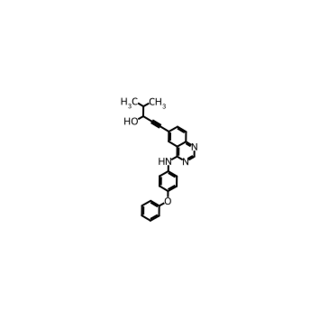 CC(C)C(O)C#Cc1ccc2ncnc(Nc3ccc(Oc4ccccc4)cc3)c2c1